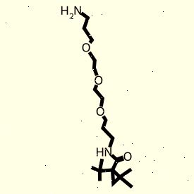 CC(C)(C)C1(C(=O)NCCCOCCOCCOCCCN)CC1(C)C